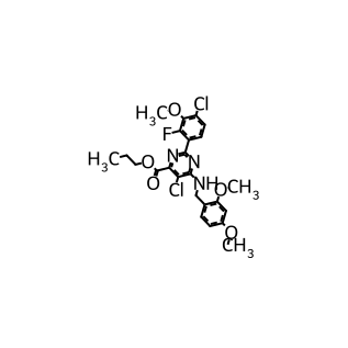 CCCOC(=O)c1nc(-c2ccc(Cl)c(OC)c2F)nc(NCc2ccc(OC)cc2OC)c1Cl